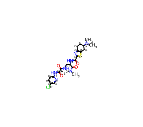 CN(C)C(=O)C(CNC(=O)C(=O)Nc1ccc(Cl)cn1)NC(=O)c1nc2c(s1)CC(N(C)C)CC2